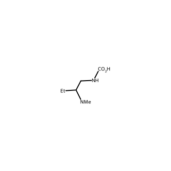 CCC(CNC(=O)O)NC